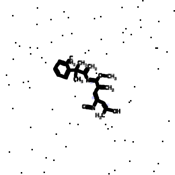 C=C(/C=C(\C=C(/C)O)N=O)/C(=N/C(=C)C(C)(C)c1ccccc1C)OC